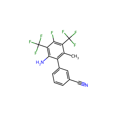 Cc1c(-c2cccc(C#N)c2)c(N)c(C(F)(F)F)c(F)c1C(F)(F)F